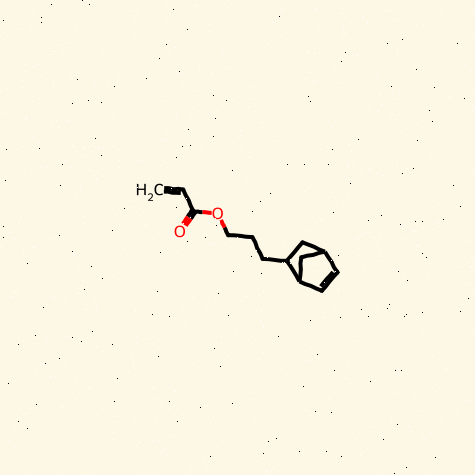 C=CC(=O)OCCCC1CC2C=CC1C2